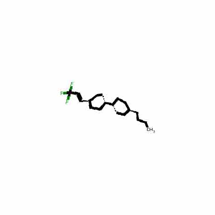 CCCC[C@H]1CC[C@H]([C@H]2CC[C@H](C=CC(F)(F)F)CC2)CC1